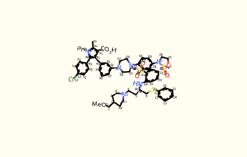 COCC1CCN(CC[C@H](CSc2ccccc2)Nc2ccc([P@]3(=O)OCCN3c3ccc(N4CCN(c5cccc(-c6c(C(=O)O)c(C)n(C(C)C)c6-c6ccc(Cl)cc6)c5)CC4)cc3)cc2S(C)(=O)=O)CC1